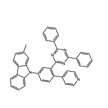 Cc1ccc2c3ccccc3n(-c3ccc(-c4ccncc4)c(-c4nc(-c5ccccc5)nc(-c5ccccc5)n4)c3)c2c1